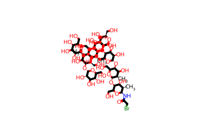 CC1C(O)[C@H](O[C@@H]2OC(CO)[C@H](O)C(O)[C@@H]2O)[C@H](CO)O[C@H]1O[C@@H]1C(O)[C@H](O)C(CO)O[C@@H]1OCC1O[C@@H](O[C@@H]2C(CO)O[C@@H](O[C@@H]3C(CO)O[C@@H](NC(=O)CBr)[C@@H](C)C3O)[C@@H](C)C2O)[C@H](O)C(O[C@H]2O[C@H](CO)[C@@H](O)C(O)C2O[C@@H]2OC(CO)[C@@H](O[C@@H]3OC(CO)[C@H](O)C(O)[C@@H]3O)C(O)[C@@H]2C)[C@@H]1O